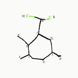 CC1CC(C)C(C)C(C(F)F)C1